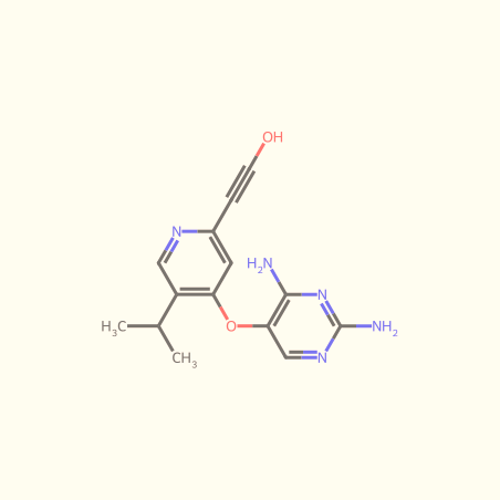 CC(C)c1cnc(C#CO)cc1Oc1cnc(N)nc1N